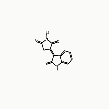 CCN1C(=O)/C(=C2/C(=O)Nc3ccccc32)SC1=S